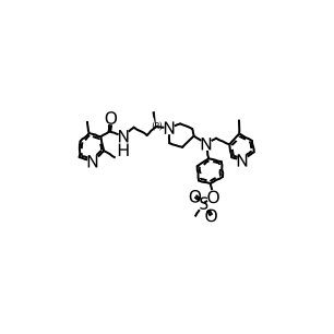 Cc1ccncc1CN(c1ccc(OS(C)(=O)=O)cc1)C1CCN([C@H](C)CCNC(=O)c2c(C)ccnc2C)CC1